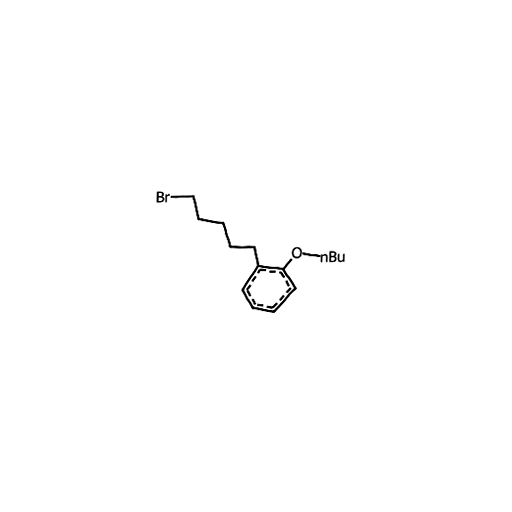 CCCCOc1ccccc1CCCCCBr